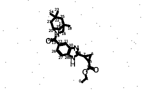 CCOC(=O)C1CC1c1nc2cc(C(=O)N3CC4(C)CC3CC(C)(C)C4)ccc2[nH]1